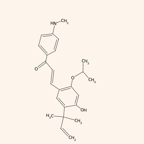 C=CC(C)(C)c1cc(/C=C/C(=O)c2ccc(NC)cc2)c(OC(C)C)cc1O